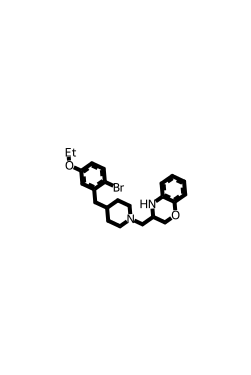 CCOc1ccc(Br)c(CC2CCN(CC3COc4ccccc4N3)CC2)c1